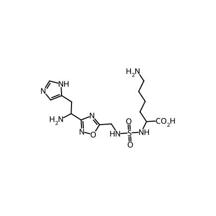 NCCCCC(NS(=O)(=O)NCc1nc(C(N)Cc2cnc[nH]2)no1)C(=O)O